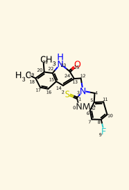 CNC(=S)N(Cc1ccc(F)cc1)Cc1cc2ccc(C)c(C)c2[nH]c1=O